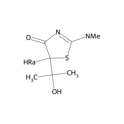 CNC1=NC(=O)[C]([RaH])(C(C)(C)O)S1